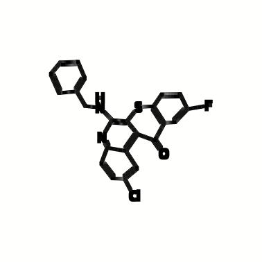 O=c1c2cc(F)ccc2sc2c(NCc3ccccc3)nc3ccc(Cl)cc3c12